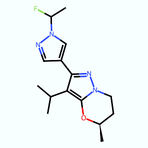 CC(C)c1c(-c2cnn(C(C)F)c2)nn2c1O[C@H](C)CC2